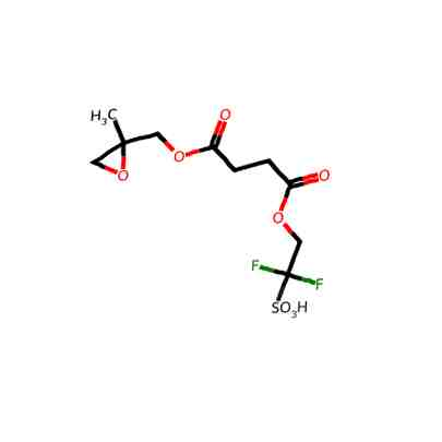 CC1(COC(=O)CCC(=O)OCC(F)(F)S(=O)(=O)O)CO1